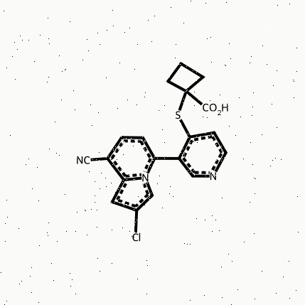 N#Cc1ccc(-c2cnccc2SC2(C(=O)O)CCC2)n2cc(Cl)cc12